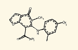 Cc1ccc(Nc2c(C(N)=O)c3occc3c(=O)n2C)c(F)c1